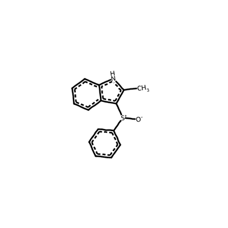 Cc1[nH]c2ccccc2c1[S+]([O-])c1ccccc1